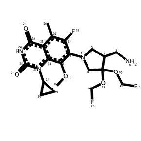 COc1c(N2CC(CN)C(OCF)(OCF)C2)c(F)c(C)c2c(=O)[nH]c(=O)n(C3CC3)c12